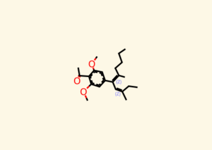 CCCC/C(C)=C(/C=C(/C)CC)c1cc(OC)c(C(C)=O)c(OC)c1